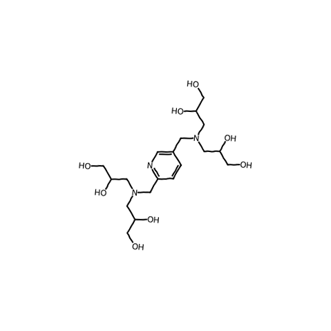 OCC(O)CN(Cc1ccc(CN(CC(O)CO)CC(O)CO)nc1)CC(O)CO